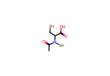 CC(=O)N(S)C(CS)C(=O)O